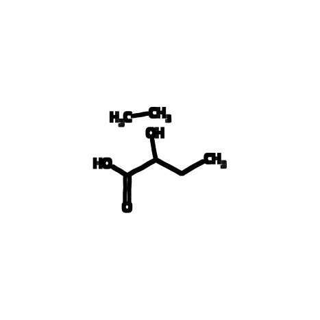 CC.CCC(O)C(=O)O